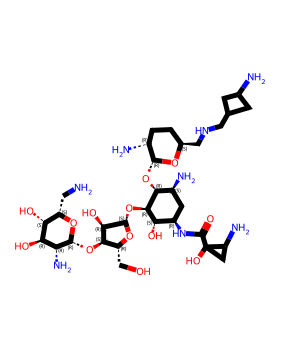 NC[C@@H]1O[C@H](O[C@H]2[C@@H](O)[C@H](O[C@@H]3[C@@H](O)[C@H](NC(=O)C4(O)CC4N)C[C@H](N)[C@H]3O[C@H]3O[C@H](CNCC4CC(N)C4)CC[C@H]3N)O[C@@H]2CO)[C@H](N)[C@@H](O)[C@@H]1O